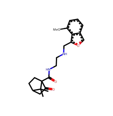 COc1cccc2coc(CNCCNC(=O)C34CCC(CC3=O)C4(C)C)c12